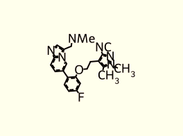 CNCc1cnc2ccc(-c3ccc(F)cc3OCCc3c(C#N)nn(C)c3C)cn12